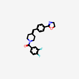 O=C(c1ccc(F)c(F)c1)N1CCC(=Cc2ccc(C3=NCCO3)cc2)CC1